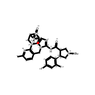 Cc1ccc(Cn2ccnc2NC(=O)C2CN(C(C)(C)C)C[C@H]2c2ccc(F)cc2F)c(N2CC3S4(=O)=S3(=O)C4C2)n1